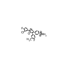 Cc1cc(-c2c(-c3ccc(S(N)(=O)=O)cc3)cnn(-c3ccc(F)c(Cl)c3)c2=O)ccc1F